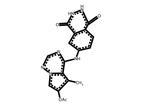 CC(=O)Oc1cn2ncnc(Nc3ccc4c(=O)[nH][nH]c(=O)c4c3)c2c1C